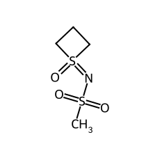 CS(=O)(=O)N=S1(=O)CCC1